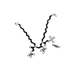 CCCCCCCCCCCCN(CC(CN(CCCCCCCCCCCC)C(=O)COS(=O)(=O)[O-])OS(=O)(=O)[O-])C(=O)COS(=O)(=O)[O-].[Na+].[Na+].[Na+]